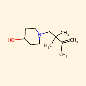 C=C(C)C(C)(C)CN1CCC(O)CC1